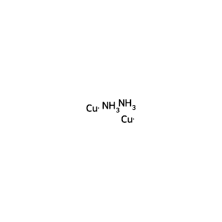 N.N.[Cu].[Cu]